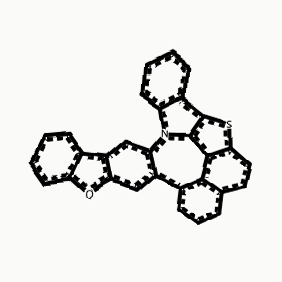 c1ccc2c(c1)oc1cc3c4cccc5ccc6sc7c8ccccc8n(c3cc12)c7c6c54